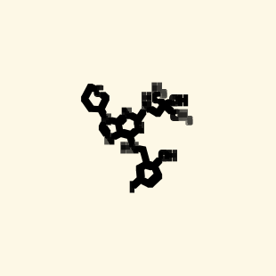 CC(C)(O)CNc1nc(NCc2cc(I)ccc2O)c2ncn(C3CCCCC3)c2n1